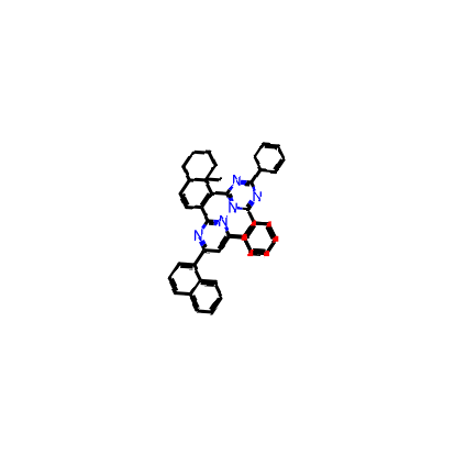 CC12CCCCC1C=CC(c1nc(-c3ccccc3)cc(-c3cccc4ccccc34)n1)=C2c1nc(-c2ccccc2)nc(C2C=CC=CC2)n1